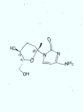 C[C@]1(n2ccc(N)nc2=O)C[C@H](O)[C@@H](CO)O1